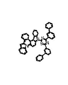 c1ccc(-c2cccc(-c3nc(-c4cccc(-c5ccccc5)c4)nc(-n4c5ccccc5c5c6c7ccccc7c7cc8ccccc8n7c6ccc54)n3)c2)cc1